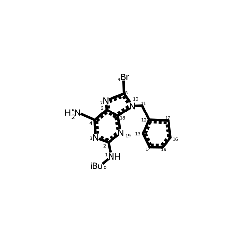 CCC(C)Nc1nc(N)c2nc(Br)n(Cc3ccccc3)c2n1